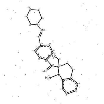 NC1c2ccccc2CC[N+]1(CC(=O)O)C(=O)c1ccc(C=NN2CCSCC2)cc1